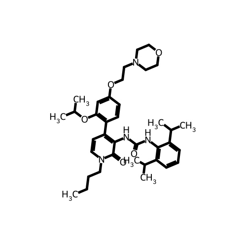 CCCCn1ccc(-c2ccc(OCCN3CCOCC3)cc2OC(C)C)c(NC(=O)Nc2c(C(C)C)cccc2C(C)C)c1=O